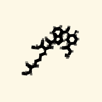 COC(=O)[C@H](CCCCNC(=O)OC(C)(C)C)NC(=O)n1ccc2c(N(C)[C@H]3CN(C(=O)CC#N)CC[C@H]3C)ncnc21